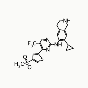 CS(=O)(=O)c1csc(-c2nc(Nc3cc4c(cc3C3CC3)CNCC4)ncc2C(F)(F)F)c1